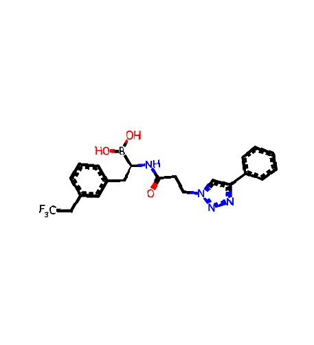 O=C(CCn1cc(-c2ccccc2)nn1)N[C@@H](Cc1cccc(CC(F)(F)F)c1)B(O)O